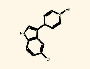 CC(=O)N1C=CC(c2c[nH]c3ccc(Cl)cc23)C=C1